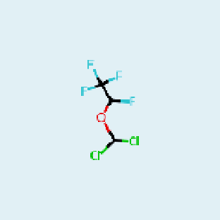 FC(OC(Cl)Cl)C(F)(F)F